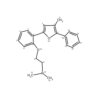 Cc1nc(-c2ccccc2OCCN(C)C)oc1-c1ccccc1